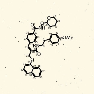 COc1ccc(CCNC(=O)C(=Cc2ccc(C(=O)NOC3CCCCO3)cc2)COc2cccc3ccccc23)cc1